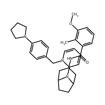 COc1cccc(C(=O)NC2CC3CCC(C2)N3C2C=CC=CN2Cc2ccc(N3CCCC3)cc2)c1C